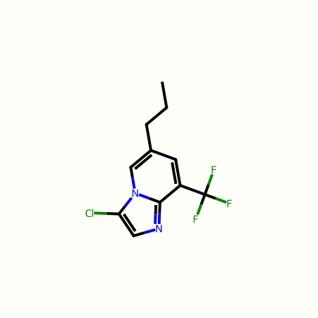 CCCc1cc(C(F)(F)F)c2ncc(Cl)n2c1